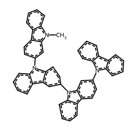 Cn1c2ccccc2c2ccc(-n3c4ccccc4c4cc(-n5c6ccccc6c6ccc(-n7c8ccccc8c8ccccc87)cc65)ccc43)cc21